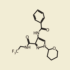 O=C(Nc1cn(C2CCCCO2)nc1C(=O)NCC(F)(F)F)c1ccccc1